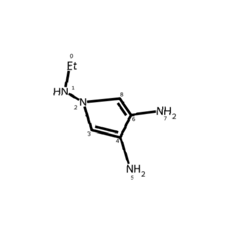 CCNn1cc(N)c(N)c1